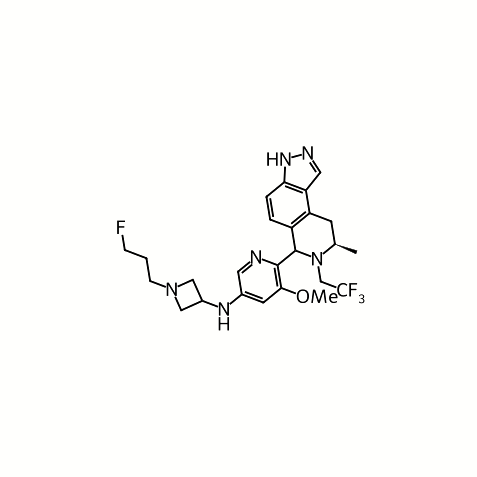 COc1cc(NC2CN(CCCF)C2)cnc1C1c2ccc3[nH]ncc3c2C[C@@H](C)N1CC(F)(F)F